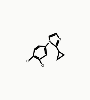 Clc1ccc(-n2c[c]nc2C2CC2)cc1Cl